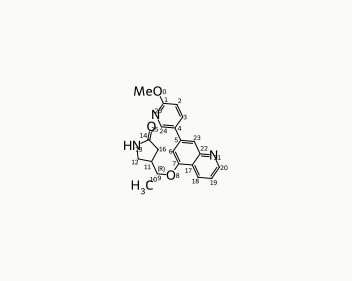 COc1ccc(-c2cc(O[C@H](C)C3CNC(=O)C3)c3cccnc3c2)cn1